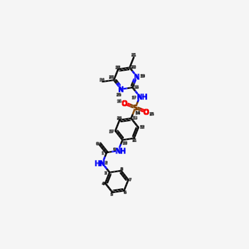 C=C(Nc1ccccc1)Nc1ccc(S(=O)(=O)Nc2nc(C)cc(C)n2)cc1